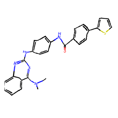 CN(C)c1nc(Nc2ccc(NC(=O)c3ccc(-c4cccs4)cc3)cc2)nc2ccccc12